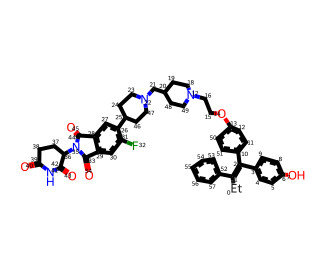 CCC(=C(c1ccc(O)cc1)c1ccc(OCCN2CCC(CN3CCC(c4cc5c(cc4F)C(=O)N(C4CCC(=O)NC4=O)C5=O)CC3)CC2)cc1)c1ccccc1